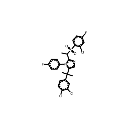 CC(c1ncc(C(C)(C)c2ccc(Cl)c(Cl)c2)n1-c1ccc(F)cc1)S(=O)(=O)c1ccc(F)cc1Cl